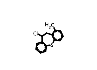 Cc1cccc2c1CC(Cl)c1ccccc1S2